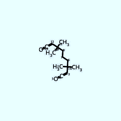 CC(C)(C=C=O)CCCC(C)(C)C=C=O